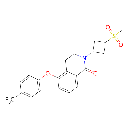 CS(=O)(=O)C1CC(N2CCc3c(Oc4ccc(C(F)(F)F)cc4)cccc3C2=O)C1